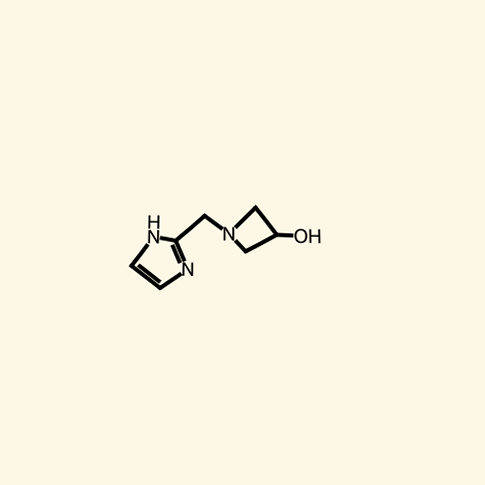 OC1CN(Cc2ncc[nH]2)C1